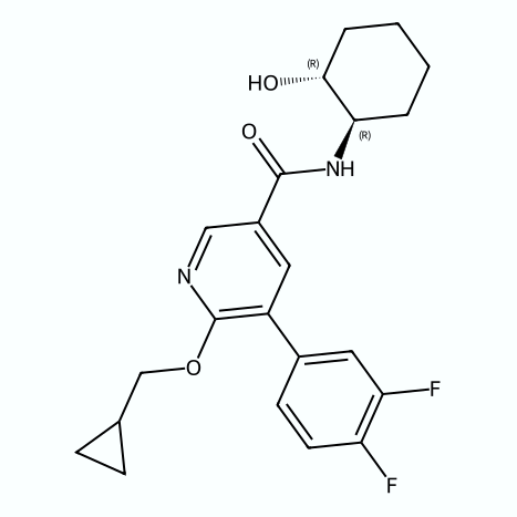 O=C(N[C@@H]1CCCC[C@H]1O)c1cnc(OCC2CC2)c(-c2ccc(F)c(F)c2)c1